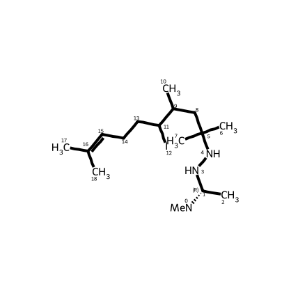 CN[C@@H](C)NNC(C)(C)CC(C)C(I)CCC=C(C)C